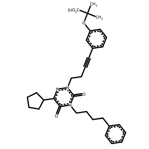 CCOC(=O)C(C)(C)Oc1cccc(C#CCCn2nc(C3CCCC3)c(=O)n(CCCCc3ccccc3)c2=O)c1